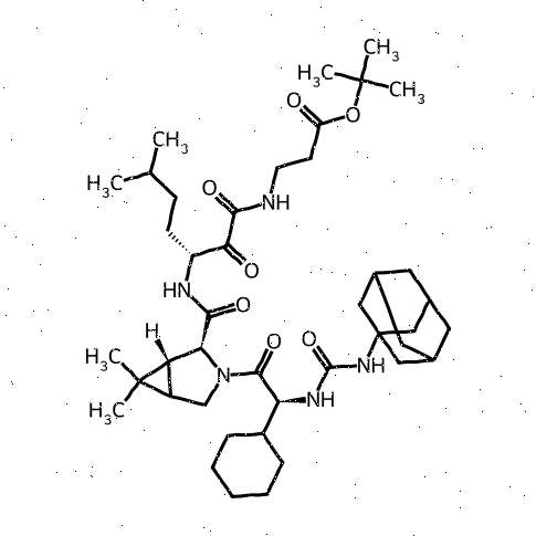 CC(C)CC[C@@H](NC(=O)[C@@H]1[C@@H]2C(CN1C(=O)[C@@H](NC(=O)NC13CC4CC(CC(C4)C1)C3)C1CCCCC1)C2(C)C)C(=O)C(=O)NCCC(=O)OC(C)(C)C